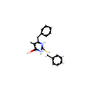 Cc1c(Cc2ccccc2)nc(SCc2ccccc2)[nH]c1=O